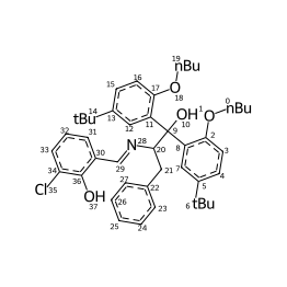 CCCCOc1ccc(C(C)(C)C)cc1C(O)(c1cc(C(C)(C)C)ccc1OCCCC)C(Cc1ccccc1)N=Cc1cccc(Cl)c1O